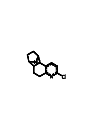 Clc1ccc2c(n1)CCC1C3CCC(N3)C21